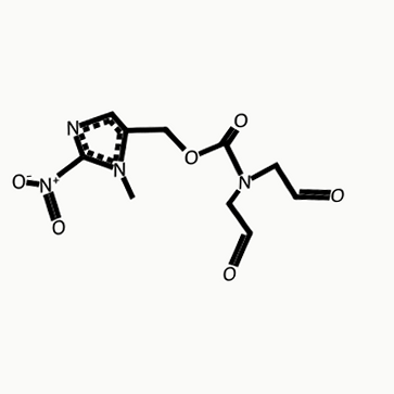 Cn1c(COC(=O)N(CC=O)CC=O)cnc1[N+](=O)[O-]